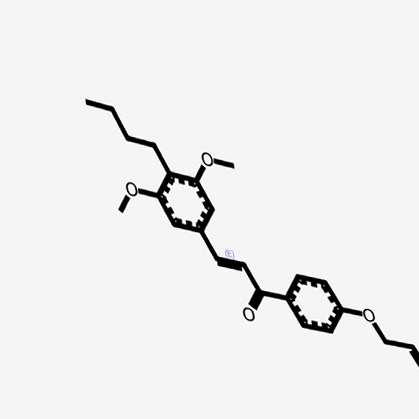 C=CCOc1ccc(C(=O)/C=C/c2cc(OC)c(CCCC)c(OC)c2)cc1